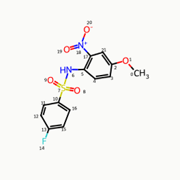 COc1ccc(NS(=O)(=O)c2ccc(F)cc2)c([N+](=O)[O-])c1